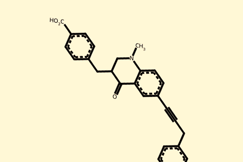 CN1CC(Cc2ccc(C(=O)O)cc2)C(=O)c2cc(C#CCc3ccncc3)ccc21